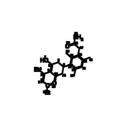 CCO/N=C(/CC)C1=C(O)CC(c2c(C)cc(C)c(CC(N)=O)c2C)CC1=O